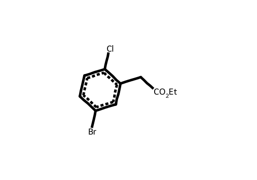 CCOC(=O)Cc1cc(Br)ccc1Cl